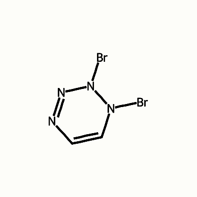 BrN1C=CN=NN1Br